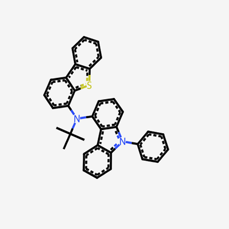 CC(C)(C)N(c1cccc2c1sc1ccccc12)c1cccc2c1c1ccccc1n2-c1ccccc1